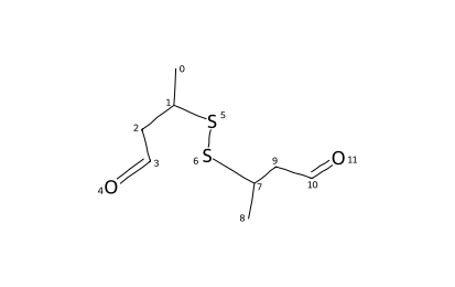 CC(CC=O)SSC(C)CC=O